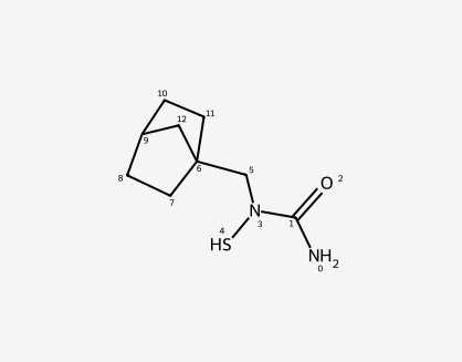 NC(=O)N(S)CC12CCC(CC1)C2